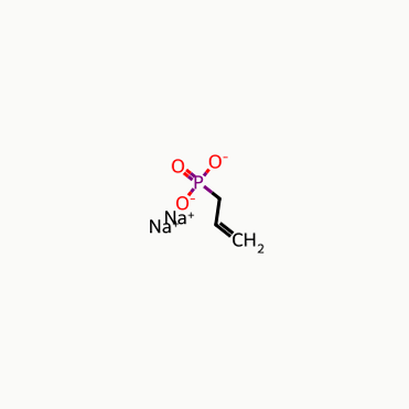 C=CCP(=O)([O-])[O-].[Na+].[Na+]